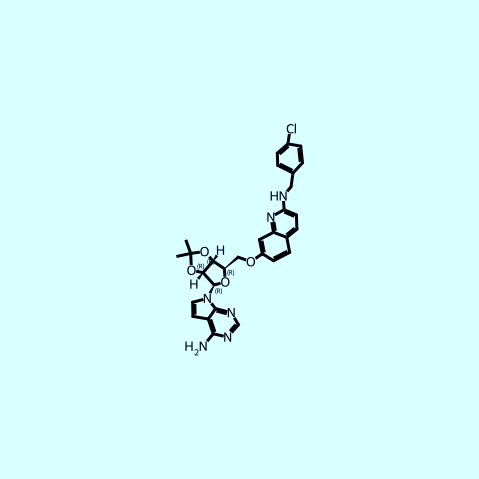 CC1(C)O[C@@H]2[C@H](O1)[C@@H](COc1ccc3ccc(NCc4ccc(Cl)cc4)nc3c1)O[C@H]2n1ccc2c(N)ncnc21